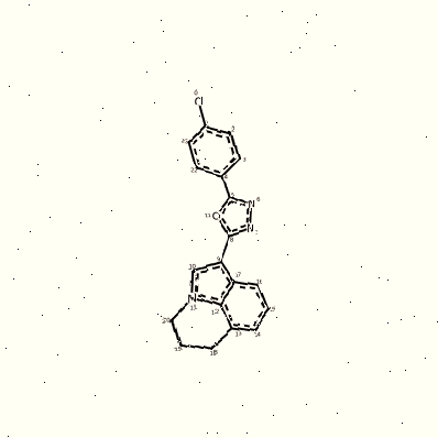 Clc1ccc(-c2nnc(-c3cn4c5c(cccc35)CCC4)o2)cc1